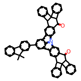 CC1(C)c2ccccc2-c2ccc(-c3cc4c5cc6c(cc5n5c7cc8c(cc7c(c3)c45)C3c4ccccc4C34c3ccccc3C4C8=O)C(=O)C3c4ccccc4C34c3ccccc3C64)cc21